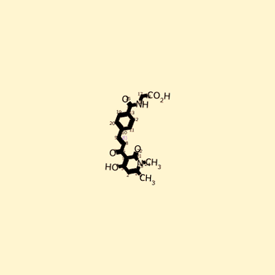 Cc1cc(O)c(C(=O)/C=C/c2ccc(C(=O)NCC(=O)O)cc2)c(=O)n1C